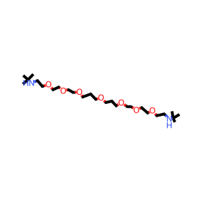 CC(C)(C)NCCOCCOCCOCCCOCCCOCCOCCOCCNC(C)(C)C